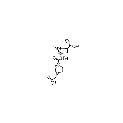 O=C(O)CN1CCN(C(=O)N[C@@H]2CNC(C(=O)O)C2)CC1